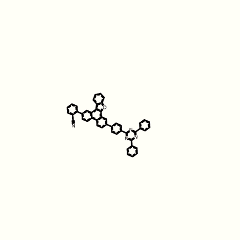 N#Cc1ccccc1-c1ccc2c3ccc(-c4ccc(-c5nc(-c6ccccc6)nc(-c6ccccc6)n5)cc4)cc3c3oc4ccccc4c3c2c1